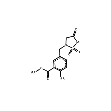 COC(=O)c1cc(CN2CC(=O)NS2(=O)=O)ccc1N